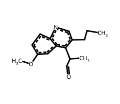 CCCc1cnc2ccc(OC)cc2c1C(C)C=O